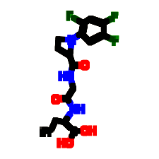 CC(C)CC(NC(=O)CNC(=O)C1CCN1c1cc(F)c(F)cc1F)B(O)O